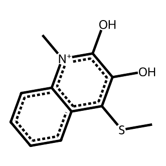 CSc1c(O)c(O)[n+](C)c2ccccc12